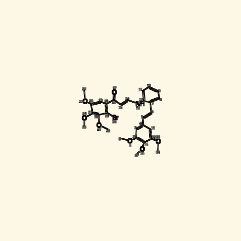 COc1cc(C=Cc2ccccc2NC=CC(=O)c2cc(OC)c(OC)c(OC)c2Br)cc(OC)c1OC